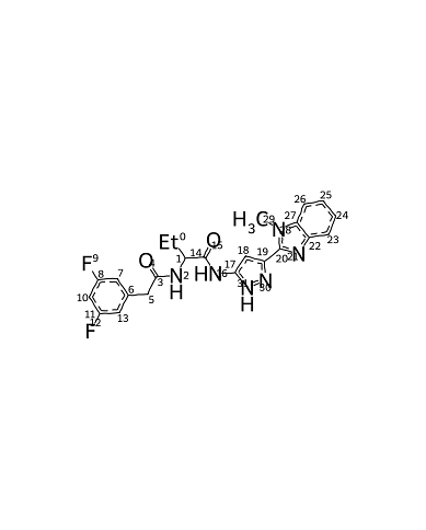 CCC(NC(=O)Cc1cc(F)cc(F)c1)C(=O)Nc1cc(-c2nc3ccccc3n2C)n[nH]1